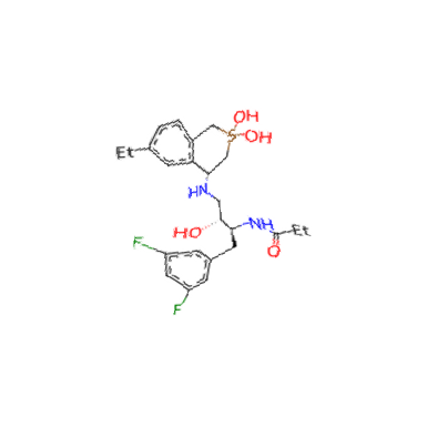 CCC(=O)N[C@@H](Cc1cc(F)cc(F)c1)[C@H](O)CN[C@H]1CS(O)(O)Cc2ccc(CC)cc21